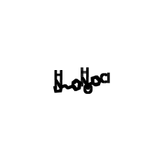 O=C(Nc1ccc(CCC2CCCN2)cc1)c1ccc(Cl)cc1